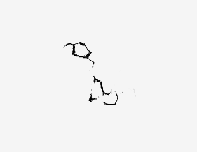 C[C@H]1CCn2c(cc(OCc3cccc(Cl)c3)nc2=O)N1C